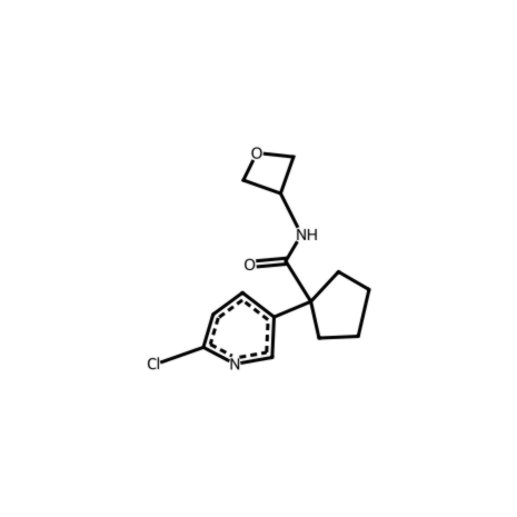 O=C(NC1COC1)C1(c2ccc(Cl)nc2)CCCC1